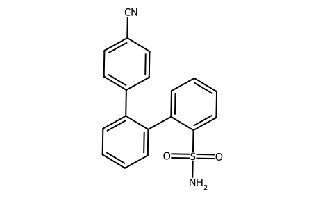 N#Cc1ccc(-c2ccccc2-c2ccccc2S(N)(=O)=O)cc1